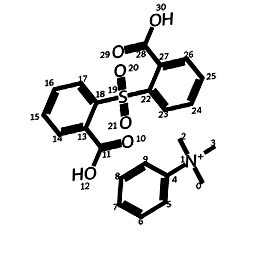 C[N+](C)(C)c1ccccc1.O=C(O)c1ccccc1S(=O)(=O)c1ccccc1C(=O)O